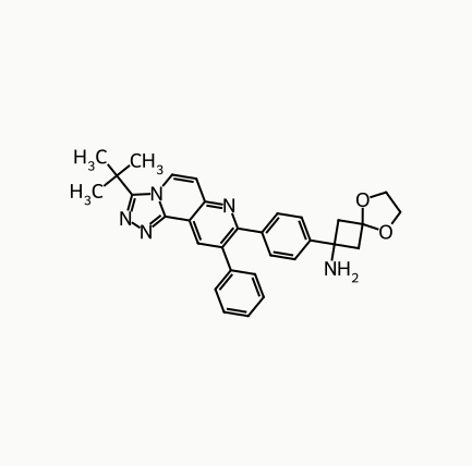 CC(C)(C)c1nnc2c3cc(-c4ccccc4)c(-c4ccc(C5(N)CC6(C5)OCCO6)cc4)nc3ccn12